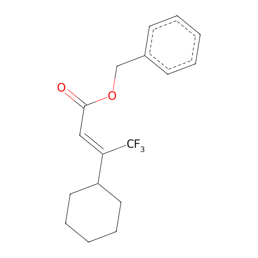 O=C(C=C(C1CCCCC1)C(F)(F)F)OCc1ccccc1